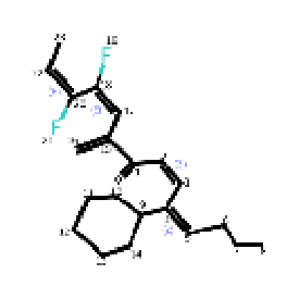 C=C(/C=C\C(=C/CCC)C1CCCCC1)C(=C)/C=C(F)\C(F)=C/C